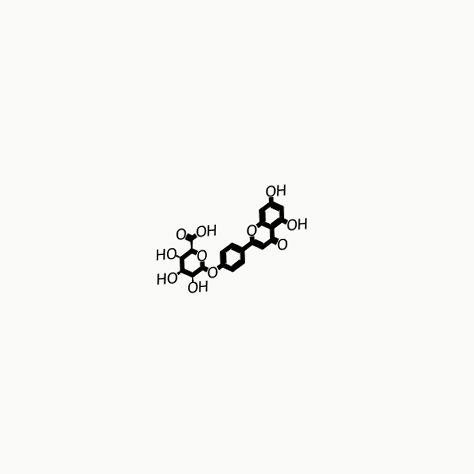 O=C(O)[C@H]1OC(Oc2ccc(-c3cc(=O)c4c(O)cc(O)cc4o3)cc2)[C@H](O)[C@@H](O)[C@@H]1O